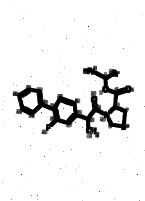 CCCC(Br)OC(=O)C1CSCN1C(=O)C(C)c1ccc(-c2ccccc2)c(F)c1